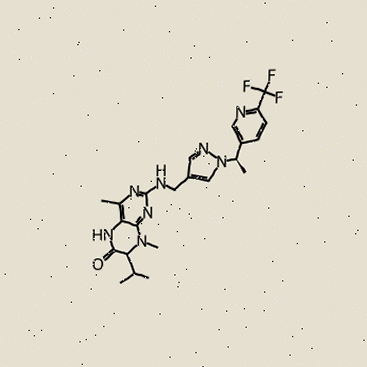 Cc1nc(NCc2cnn([C@H](C)c3ccc(C(F)(F)F)nc3)c2)nc2c1NC(=O)C(C(C)C)N2C